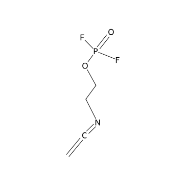 C=C=NCCOP(=O)(F)F